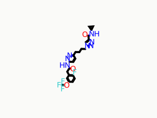 O=C(Cc1cc(OC(F)(F)F)ccc1F)Nc1ccc(CCCCn2cc(C(=O)NC3CC3)nn2)nn1